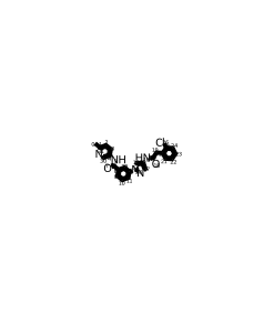 Cc1ccc(NC(=O)c2cccc(-n3cc(NC(=O)Cc4ccccc4Cl)cn3)c2)cn1